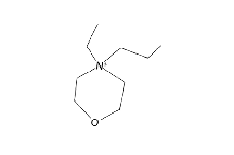 CCC[N+]1(CC)CCOCC1